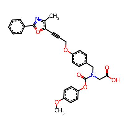 COc1ccc(OC(=O)N(CC(=O)O)Cc2ccc(OCC#Cc3oc(-c4ccccc4)nc3C)cc2)cc1